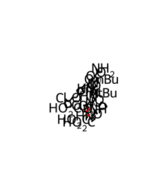 CCCC[C@H](NC(=O)[C@H](Cc1ccc(OCc2c(Cl)cccc2Cl)cc1)NC(=O)[C@@H](NC(=O)[C@H](Cc1ccccc1C)NC(=O)[C@H](CCC(=O)O)NC(=O)[C@H](CC(=O)O)NC(=O)CCC(=O)O)C(C)(C)C)C(=O)C(N)=O